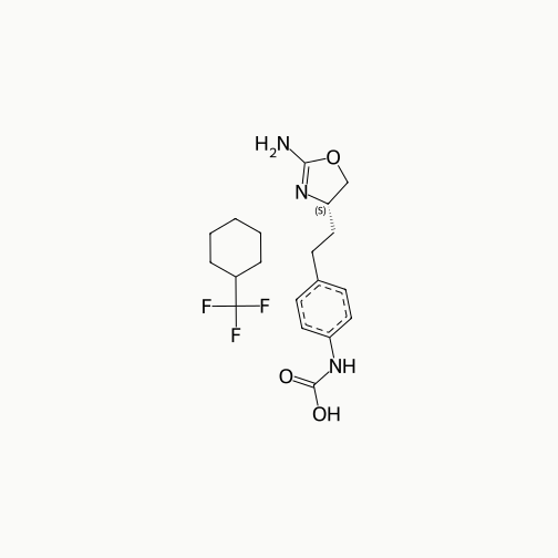 FC(F)(F)C1CCCCC1.NC1=N[C@@H](CCc2ccc(NC(=O)O)cc2)CO1